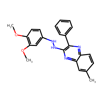 COc1ccc(NNc2nc3cc(C)ccc3nc2-c2ccccc2)cc1OC